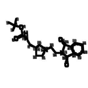 CC(C)(C)OC(=O)NC[C@@H]1CCN(CCN2C(=O)c3ccccc3C2=O)C1